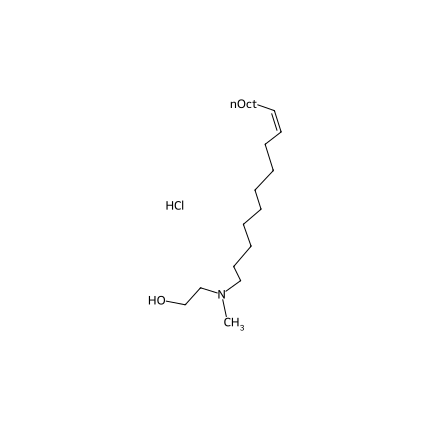 CCCCCCCC/C=C\CCCCCCCCN(C)CCO.Cl